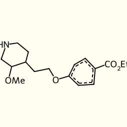 CCOC(=O)c1ccc(OCCC2CCNCC2OC)cc1